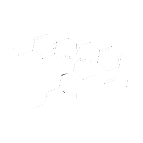 C=CC[C@H](C)[C@@H](C[C@@H](O)COC)S(=O)(=O)N(Cc1ccc(OC)cc1)Cc1ccc(OC)cc1